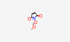 COCON1C(=O)C=CC1=O